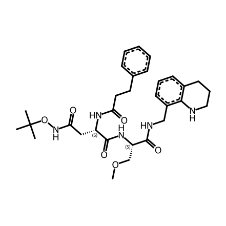 COC[C@H](NC(=O)[C@H](CC(=O)NOC(C)(C)C)NC(=O)CCc1ccccc1)C(=O)NCc1cccc2c1NCCC2